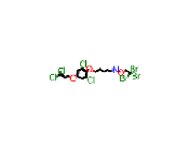 ClC(Cl)=CCOc1cc(Cl)c(OCCCC/C=N/OCC(Br)(Br)Br)c(Cl)c1